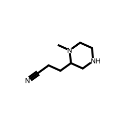 CN1CCNCC1CCC#N